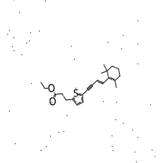 CCOC(=O)CCc1ccc(C#CC=CC2=C(C)CCCC2(C)C)s1